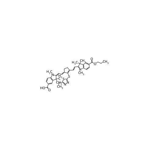 CCCOC(=O)c1ccc2c(c1)C(C)(C)C(/C=C/C1=C(Sc3nnc(CC)s3)C(=C/C=C3/N(C)c4ccc(C(=O)O)cc4C3(C)C)/CC1)=[N+]2C